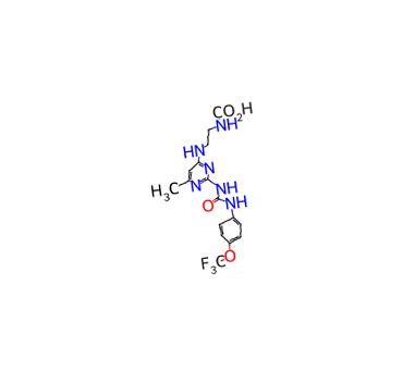 Cc1cc(NCCNC(=O)O)nc(NC(=O)Nc2ccc(OC(F)(F)F)cc2)n1